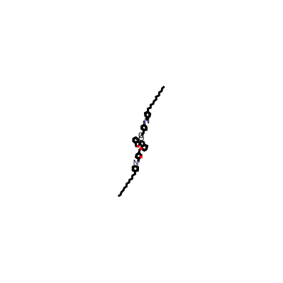 CCCCCCCCCCCCc1ccc(/N=C/c2ccc(COOc3cccc4c3C3(CCc5cccc(Cc6ccc(/C=N/c7ccc(CCCCCCCCCCCC)cc7)cc6)c53)CC4)cc2)cc1